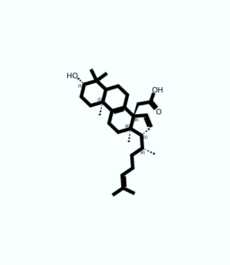 CC(C)=CCC[C@@H](C)[C@H]1C=C[C@@]2(CC(=O)O)C3=C(CC[C@]12C)[C@@]1(C)CC[C@H](O)C(C)(C)C1CC3